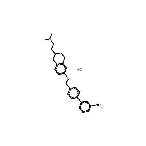 CN(C)CCC1CCc2cc(OCc3ccc(-c4cccc(N)c4)cc3)ccc2C1.Cl